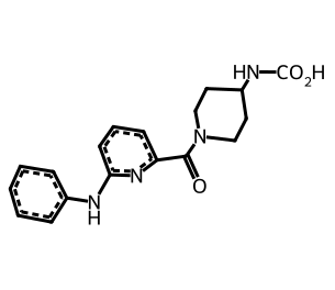 O=C(O)NC1CCN(C(=O)c2cccc(Nc3ccccc3)n2)CC1